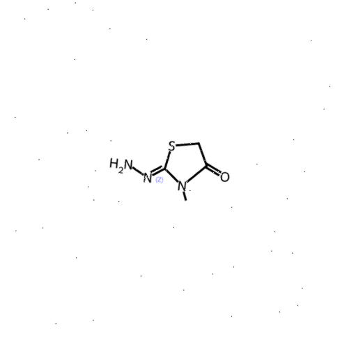 CN1C(=O)CS/C1=N\N